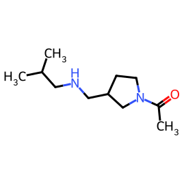 CC(=O)N1CCC(CNCC(C)C)C1